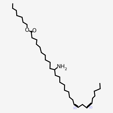 CCCCC/C=C\C/C=C\CCCCCCCCC(N)CCCCCCCCCC(=O)OCCCCCCC